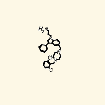 NCCCn1cc(C2C=CC=CC2)c2cc(CN3CCN(Cc4c(Cl)cccc4Cl)CC3)ccc21